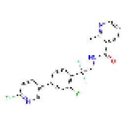 Cc1ncccc1C(=O)NCC(F)(F)c1ccc(-c2ccc(Cl)nc2)cc1Cl